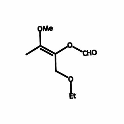 CCOC/C(OC=O)=C(\C)OC